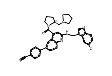 N#Cc1ccc(-c2ccc3nc(NCc4csc5ccc(Cl)cc45)cc(C(=O)N4CCC[C@H]4CN4CCCC4)c3c2)cc1